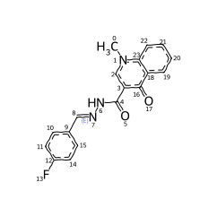 Cn1cc(C(=O)N/N=C/c2ccc(F)cc2)c(=O)c2ccccc21